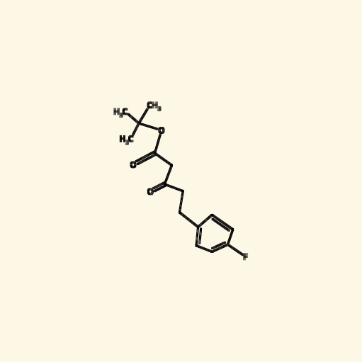 CC(C)(C)OC(=O)CC(=O)CCc1ccc(F)cc1